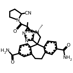 Cc1nnc(C2(C[C@@H](C)NCC(=O)N3CCCC3C#N)c3ccc(C(N)=O)cc3CCc3cc(C(N)=O)ccc32)[nH]1